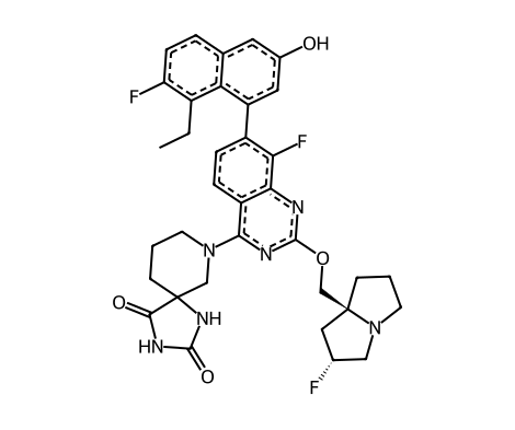 CCc1c(F)ccc2cc(O)cc(-c3ccc4c(N5CCCC6(C5)NC(=O)NC6=O)nc(OC[C@@]56CCCN5C[C@H](F)C6)nc4c3F)c12